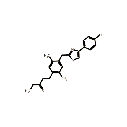 CCC(=O)CCc1cc(C)c(Cc2nc(-c3ccc(Cl)cc3)cs2)cc1C